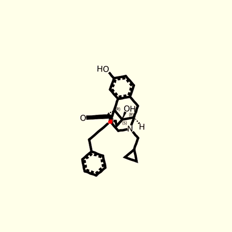 O=C1C[C@]23CCN(CC4CC4)[C@H](Cc4ccc(O)cc42)[C@]3(O)CCN1Cc1ccccc1